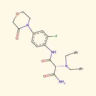 CC(C)CN(CC(C)C)[C@H](C(N)=O)C(=O)Nc1ccc(N2CCOCC2=O)cc1F